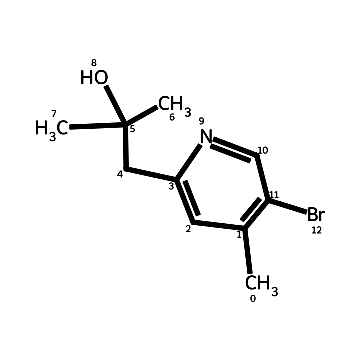 Cc1cc(CC(C)(C)O)ncc1Br